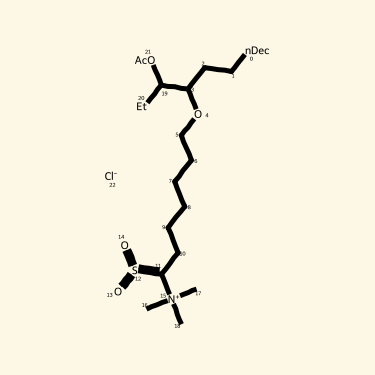 CCCCCCCCCCCCC(OCCCCCCC(=S(=O)=O)[N+](C)(C)C)C(CC)OC(C)=O.[Cl-]